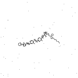 CCCCCCOC(=O)CSc1nnc(/N=N/c2ccc(/N=N/c3ccc(/N=N/c4ccc(N5CCCC5)s4)cc3C)cc2C)s1